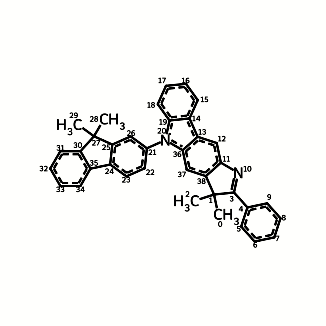 CC1(C)C(c2ccccc2)=Nc2cc3c4ccccc4n(-c4ccc5c(c4)C(C)(C)c4ccccc4-5)c3cc21